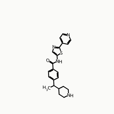 CC(c1ccc(C(=O)Nc2cnc(-c3ccncc3)s2)cc1)C1CCNCC1